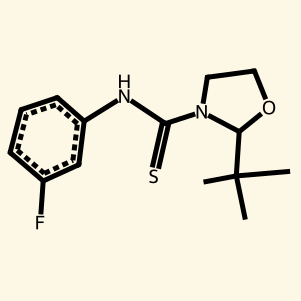 CC(C)(C)C1OCCN1C(=S)Nc1cccc(F)c1